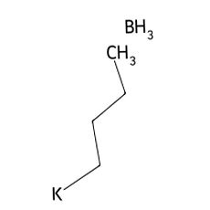 B.CCC[CH2][K]